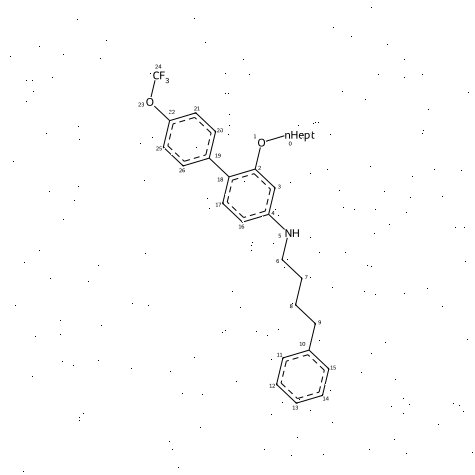 CCCCCCCOc1cc(NCCCCc2ccccc2)ccc1-c1ccc(OC(F)(F)F)cc1